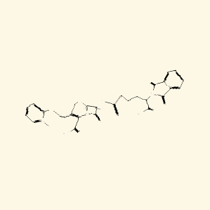 O=C(CCCC(C(=O)O)N1C(=O)c2ccccc2C1=O)N[C@@H]1C(=O)N2C(C(=O)O)=C(CSc3cccc[n+]3[O-])CS[C@@H]12